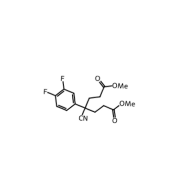 COC(=O)CCC(C#N)(CCC(=O)OC)c1ccc(F)c(F)c1